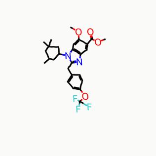 COC(=O)c1cc2nc(Cc3ccc(OC(F)(F)F)cc3)n(C3CC(C)CC(C)(C)C3)c2cc1OC